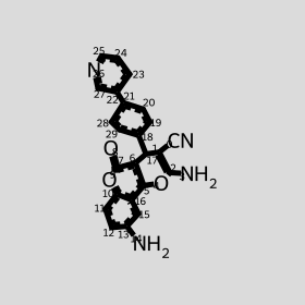 N#CC1=C(N)Oc2c(c(=O)oc3ccc(N)cc23)C1c1ccc(-c2cccnc2)cc1